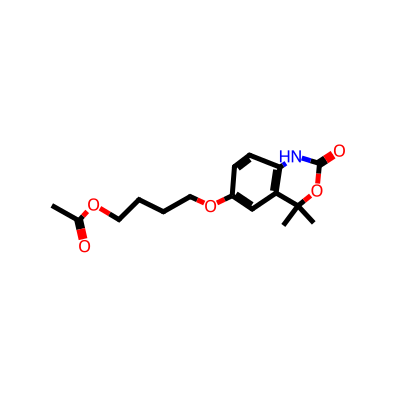 CC(=O)OCCCCOc1ccc2c(c1)C(C)(C)OC(=O)N2